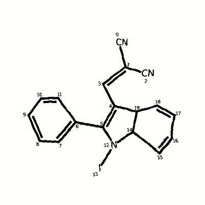 N#CC(C#N)=CC1=C(c2ccccc2)N(I)C2C=CC=CC12